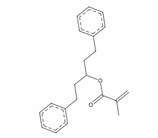 C=C(C)C(=O)OC(CCc1ccccc1)CCc1ccccc1